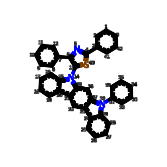 c1ccc(-c2nc(-c3ccccc3)c(-n3c4ccccc4c4cc5c6ccccc6n(-c6ccccc6)c5cc43)s2)cc1